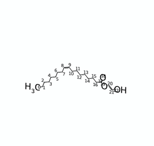 CCCCCCCC/C=C\CCCCCCCC(=O)OC=CO